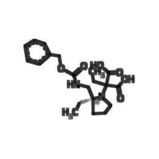 CCC(C(=O)O)(C(=O)O)N1CCC[C@@]1(CC)CNC(=O)OCc1ccccc1